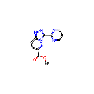 CCCCOC(=O)c1ccc2nnc(-c3ncccn3)n2n1